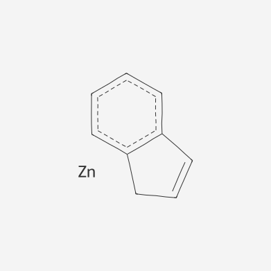 C1=Cc2ccccc2C1.[Zn]